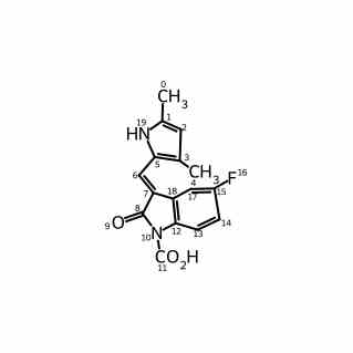 Cc1cc(C)c(C=C2C(=O)N(C(=O)O)c3ccc(F)cc32)[nH]1